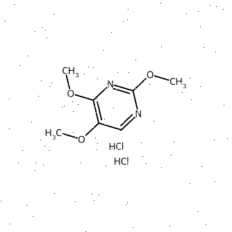 COc1ncc(OC)c(OC)n1.Cl.Cl